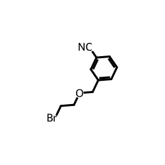 N#Cc1cccc(COCCBr)c1